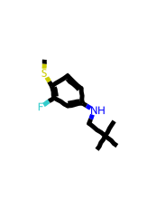 CSc1ccc(NCC(C)(C)C)cc1F